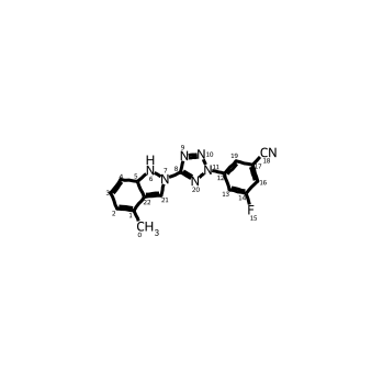 CC1=CC=CC2NN(c3nnn(-c4cc(F)cc(C#N)c4)n3)C=C12